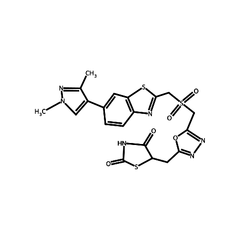 Cc1nn(C)cc1-c1ccc2nc(CS(=O)(=O)Cc3nnc(CC4SC(=O)NC4=O)o3)sc2c1